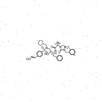 CC[C@H](C)[C@@H](C(=O)N[C@@H](Cc1ccccc1)[C@@H](O)CN(CC1CCCC1)S(=O)(=O)c1ccc(C=NO)cc1)N1CCN(Cc2cnccc2C)C1=O